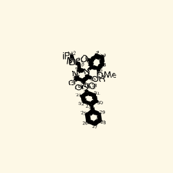 COc1cccc(OC)c1-n1c(COC(C)C)nc(=O)c(S(=O)(=O)c2ccc(-c3ccccc3)cc2)c1O